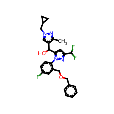 Cc1nn(CC2CC2)cc1C(O)c1cc(C(F)F)nn1-c1ccc(F)cc1COCc1ccccc1